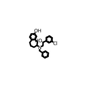 Oc1ccc2c(c1)CC(N(Cc1ccccc1)C[C@H](O)c1cccc(Cl)c1)CCC2